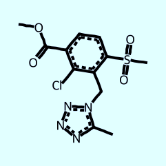 COC(=O)c1ccc(S(C)(=O)=O)c(Cn2nnnc2C)c1Cl